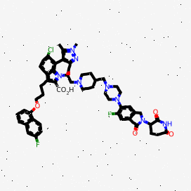 Cc1nn(C)c(C)c1-c1c(Cl)ccc2c(CCCOc3cccc4cc(F)ccc34)c(C(=O)O)n(CCN3CCC(CN4CCN(c5cc6c(cc5F)C(=O)N(C5CCC(=O)NC5=O)C6)CC4)CC3)c12